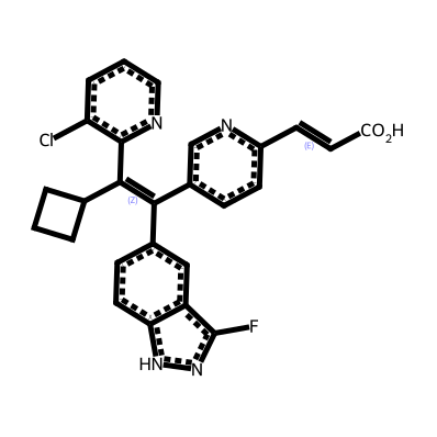 O=C(O)/C=C/c1ccc(/C(=C(\c2ncccc2Cl)C2CCC2)c2ccc3[nH]nc(F)c3c2)cn1